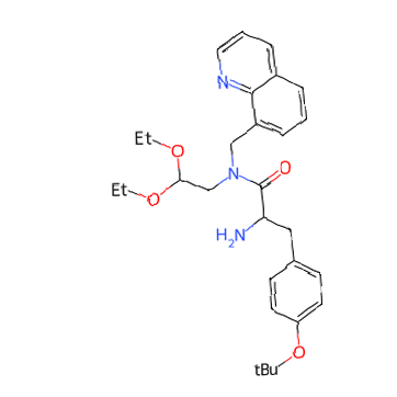 CCOC(CN(Cc1cccc2cccnc12)C(=O)C(N)Cc1ccc(OC(C)(C)C)cc1)OCC